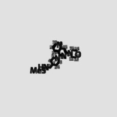 CSNCC1CCN(c2nc(N3CCOCC3)cc3ncccc23)CC1